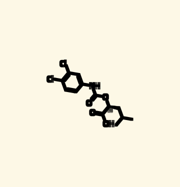 CC(C)C[C@H](OC(=O)Nc1ccc(Cl)c(Cl)c1)C(=O)O